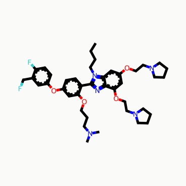 CCCCn1c(-c2ccc(Oc3ccc(F)c(CF)c3)cc2OCCCN(C)C)nc2c(OCCN3CCCC3)cc(OCCN3CCCC3)cc21